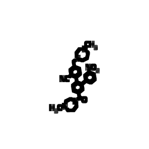 CN1CCCN(Cc2ccc(-c3ccc(C(=O)N4CCCN(C)CC4)cc3-c3cccc([N+](=O)[O-])c3)c(C#N)c2)CC1